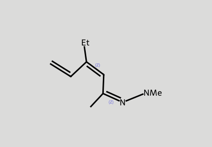 C=C/C(=C\C(C)=N/NC)CC